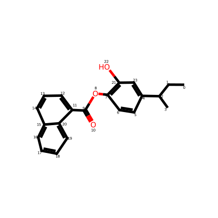 CCC(C)c1ccc(OC(=O)c2cccc3ccccc23)c(O)c1